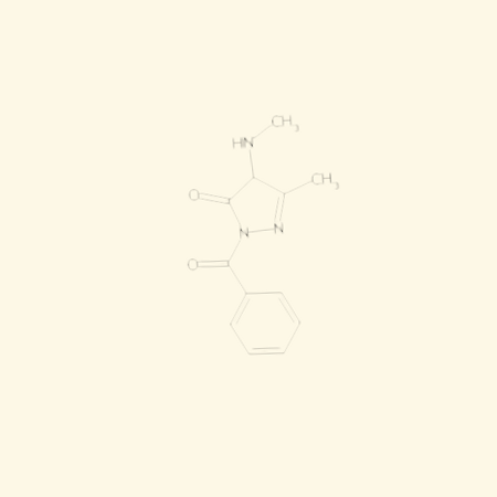 CNC1C(=O)N(C(=O)c2ccccc2)N=C1C